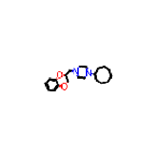 c1ccc2c(c1)OCC(CN1CCN(C3CCCCCCC3)CC1)O2